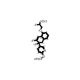 CCCCCCCCC(F)COc1cccc2c1C=C(F)C(F)(c1ccc(OCCCCCC)nc1)C2